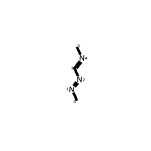 CN=N/C=N/C